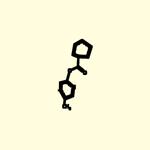 Cc1[c]cc(OC(=O)c2ccccc2)nc1